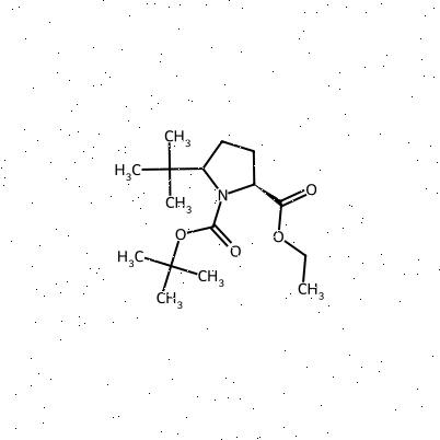 CCOC(=O)[C@@H]1CCC(C(C)(C)C)N1C(=O)OC(C)(C)C